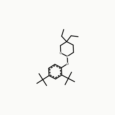 CCC1(CC)CCP(Oc2ccc(C(C)(C)C)cc2C(C)(C)C)OC1